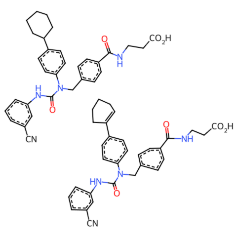 N#Cc1cccc(NC(=O)N(Cc2ccc(C(=O)NCCC(=O)O)cc2)c2ccc(C3=CCCCC3)cc2)c1.N#Cc1cccc(NC(=O)N(Cc2ccc(C(=O)NCCC(=O)O)cc2)c2ccc(C3CCCCC3)cc2)c1